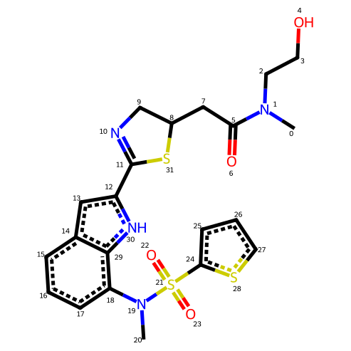 CN(CCO)C(=O)CC1CN=C(c2cc3cccc(N(C)S(=O)(=O)c4cccs4)c3[nH]2)S1